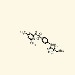 Cc1cc(C)nc(NS(=O)(=O)c2ccc(NC(=O)C(C)(C)CC(C)(C)C)cc2)n1